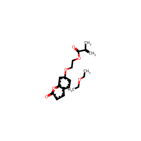 C=C(C)C(=O)OCCOc1ccc2ccc(=O)oc2c1.CCOCC